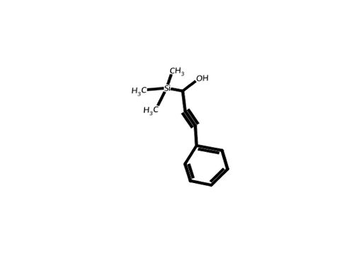 C[Si](C)(C)C(O)C#Cc1ccccc1